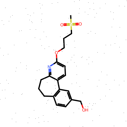 CS(=O)(=O)CCCOc1ccc2c(n1)CCCc1ccc(CO)cc1-2